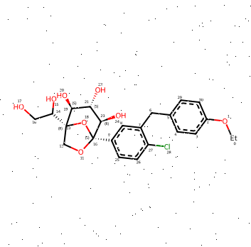 CCOc1ccc(Cc2cc([C@]34OC[C@](C(O)CO)(O3)[C@@H](O)[C@H](O)[C@H]4O)ccc2Cl)cc1